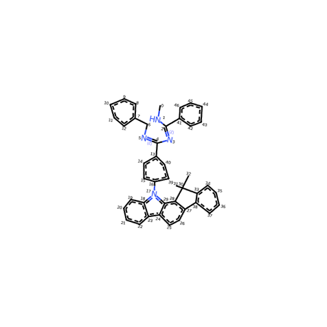 CN/C(=N\C(=N/Cc1ccccc1)c1ccc(-n2c3ccccc3c3ccc4c(c32)C(C)(C)c2ccccc2-4)cc1)c1ccccc1